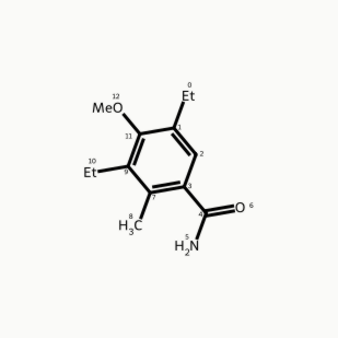 CCc1cc(C(N)=O)c(C)c(CC)c1OC